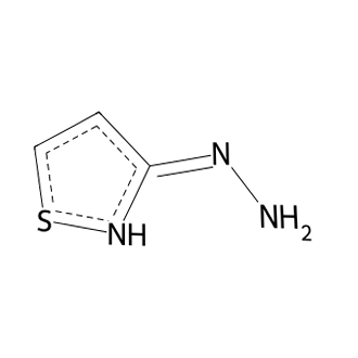 NN=c1ccs[nH]1